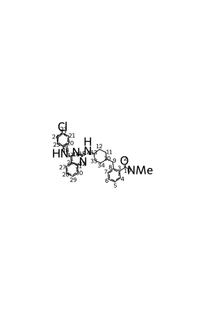 CNC(=O)c1ccccc1CC1CCC(Nc2nc(Nc3ccc(Cl)cc3)c3ccccc3n2)CC1